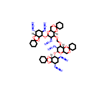 [N-]=[N+]=NC1C(OCOC2[C@@H]3OC4(CCCCC4)OCC3O[C@H](O[C@@H]3C(N=[N+]=[N-])C[C@@H](N=[N+]=[N-])C4OC5(CCCCC5)O[C@H]43)[C@H]2N=[N+]=[N-])[C@@H]2OC3(CCCCC3)OCC2O[C@@H]1O[C@@H]1C(N=[N+]=[N-])C[C@@H](N=[N+]=[N-])[C@H]2OC3(CCCCC3)OC12